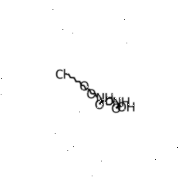 O=C(O)N[C@H]1CC[C@H](C(=O)NCCOCCOCCCCCCCl)CC1